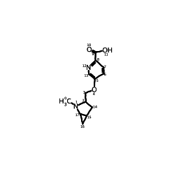 CN1C(COc2ccc(C(=O)O)nc2)CC2CC21